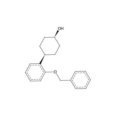 O[C@H]1CC[C@@H](c2ccccc2OCc2ccccc2)CC1